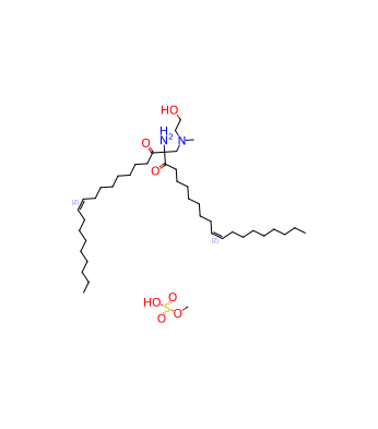 CCCCCCCC/C=C\CCCCCCCC(=O)C(N)(CN(C)CCO)C(=O)CCCCCCC/C=C\CCCCCCCC.COS(=O)(=O)O